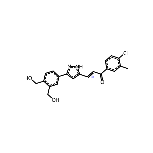 Cc1cc(C(=O)/C=C/c2cc(-c3ccc(CO)c(CO)c3)n[nH]2)ccc1Cl